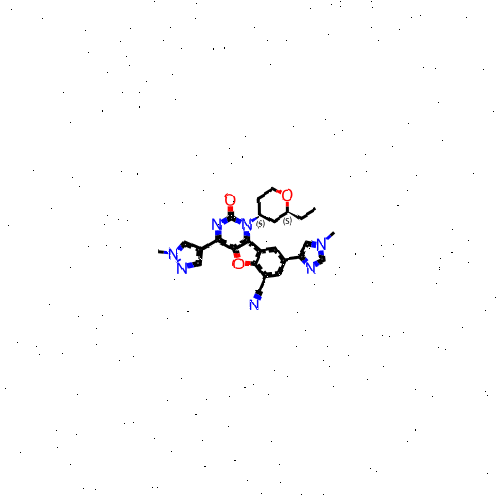 CC[C@H]1C[C@@H](n2c(=O)nc(-c3cnn(C)c3)c3oc4c(C#N)cc(-c5cn(C)cn5)cc4c32)CCO1